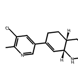 Clc1cc(C2=C[C@H]3NCCC[C@H]3CC2)cnc1Cl